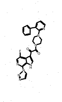 O=C(C(=O)N1CCN(c2ncccc2-c2ccccc2)CC1)c1c[nH]c2c(-n3ccnn3)ncc(F)c12